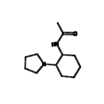 CC(=O)NC1CCCCC1N1CCCC1